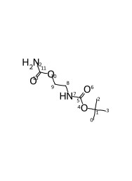 CC(C)(C)OC(=O)NCCOC(N)=O